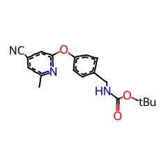 Cc1cc(C#N)cc(Oc2ccc(CNC(=O)OC(C)(C)C)cc2)n1